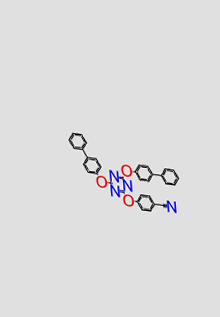 N#Cc1ccc(Oc2nc(Oc3ccc(-c4ccccc4)cc3)nc(Oc3ccc(-c4ccccc4)cc3)n2)cc1